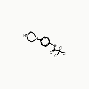 O=C(Nc1ccc(N2CCNCC2)cc1)C(Cl)(Cl)Cl